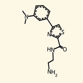 CN(C)c1cccc(-c2csc(C(=O)NCCN)n2)c1